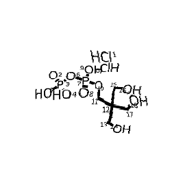 Cl.Cl.O=P(O)(O)OP(=O)(O)OCC(CO)(CO)CO